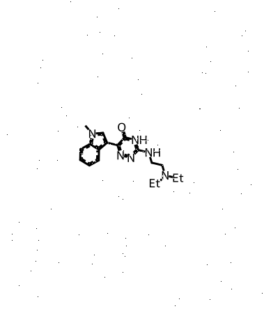 CCN(CC)CCNc1nnc(-c2cn(C)c3ccccc23)c(=O)[nH]1